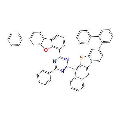 c1ccc(-c2ccc3c(c2)oc2c(-c4nc(-c5ccccc5)nc(-c5c6ccccc6cc6c5sc5cc(-c7ccccc7-c7ccccc7)ccc56)n4)cccc23)cc1